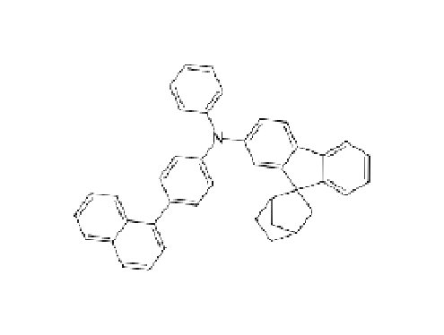 c1ccc(N(c2ccc(-c3cccc4ccccc34)cc2)c2ccc3c(c2)C2(CC4CCC2C4)c2ccccc2-3)cc1